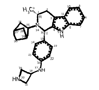 C[C@@H]1Cc2c([nH]c3ccccc23)[C@@H](c2ccc(NC3CNC3)cc2)N1C1CC2CC1C2